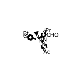 CCOc1ccc(CN(c2nc(N3CCN(C(C)=O)CC3)nc3c2CN(C(C)C)[C@H]3C=O)C2CC2)cc1